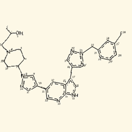 CC(O)CN1CCC(n2cc(-c3cnc4[nH]cc(-c5cnn(Cc6cccc(F)c6)c5)c4c3)cn2)CC1